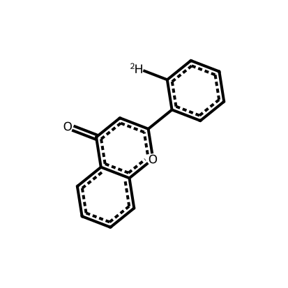 [2H]c1ccccc1-c1cc(=O)c2ccccc2o1